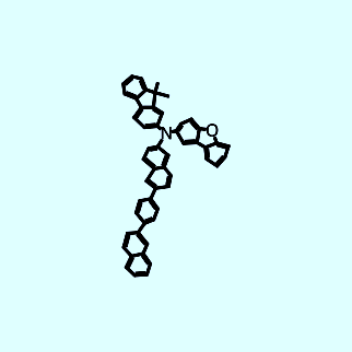 CC1(C)c2ccccc2-c2ccc(N(c3ccc4cc(-c5ccc(-c6ccc7ccccc7c6)cc5)ccc4c3)c3ccc4oc5ccccc5c4c3)cc21